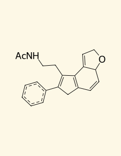 CC(=O)NCCC1=C(c2ccccc2)CC2=C1C1=CCOC1C=C2